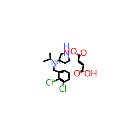 CC(C)N(Cc1cccc(Cl)c1Cl)[C@H]1CCNC1.O=C(O)C=CC(=O)O